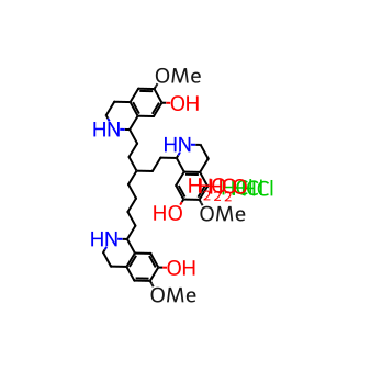 COc1cc2c(cc1O)C(CCCCC(CCC1NCCc3cc(OC)c(O)cc31)CCC1NCCc3cc(OC)c(O)cc31)NCC2.Cl.Cl.Cl.O.O.O